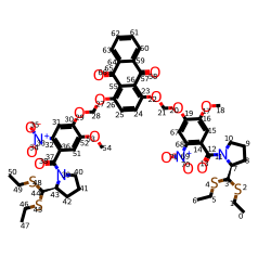 CCSC(SCC)[C@@H]1CCCN1C(=O)c1cc(OC)c(OCOc2ccc(OCOc3cc([N+](=O)[O-])c(C(=O)N4CCC[C@H]4C(SCC)SCC)cc3OC)c3c2C(=O)c2ccccc2C3=O)cc1[N+](=O)[O-]